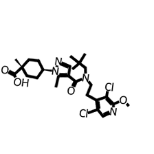 COc1ncc(Cl)c(CCN(CC(C)(C)C)C(=O)c2cnn([C@H]3CC[C@](C)(C(=O)O)CC3)c2C)c1Cl